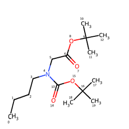 CCCCN(CC(=O)OC(C)(C)C)C(=O)OC(C)(C)C